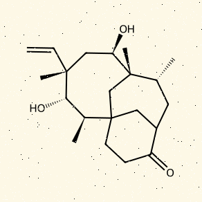 C=C[C@]1(C)C[C@@H](O)[C@@]2(C)CC3(CCC(=O)C(C[C@H]2C)C3)[C@@H](C)[C@@H]1O